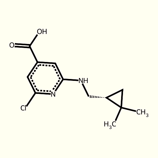 CC1(C)C[C@H]1CNc1cc(C(=O)O)cc(Cl)n1